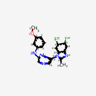 COc1cccc(Nc2cncc(-n3c(C)nc4cc(F)c(F)cc43)n2)c1